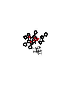 CC(c1ccccc1)c1cc(C2CCCCC2)ccc1OCCOCC(Oc1ccc(C2CCCCC2)cc1C(C)c1ccccc1)(c1ccc(C2CCCCC2)cc1C(C)c1ccccc1)c1ccc(C2CCCCC2)cc1C(C)c1ccccc1.OP(O)O.OP(O)O